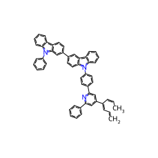 C=C/C=C(\C=C/C)c1cc(-c2ccccc2)nc(-c2ccc(-n3c4ccccc4c4cc(-c5ccc6c7ccccc7n(-c7ccccc7)c6c5)ccc43)cc2)c1